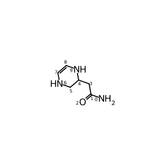 NC(=O)CC1CNC=CN1